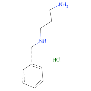 Cl.NCCCNCc1ccccc1